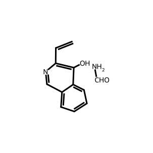 C=Cc1ncc2ccccc2c1O.NC=O